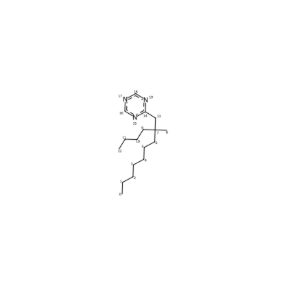 CCCCCCCC(C)(CCCC)Cc1ncncn1